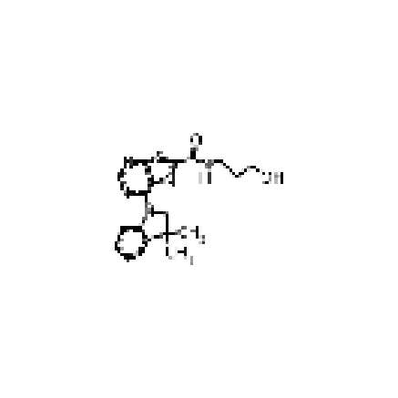 CC1(C)CN(c2ncnc3sc(C(=O)NCCCO)nc23)c2ccccc21